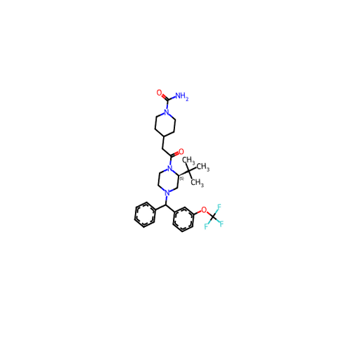 CC(C)(C)[C@H]1CN(C(c2ccccc2)c2cccc(OC(F)(F)F)c2)CCN1C(=O)CC1CCN(C(N)=O)CC1